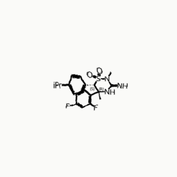 CC(C)c1ccc([C@H]2[C@@](C)(c3ccc(F)cc3F)NC(=N)N(C)S2(=O)=O)cc1